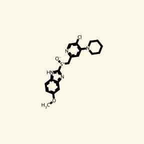 COc1ccc2[nH]c([S+]([O-])Cc3cc(N4CCCCC4)c(Cl)cn3)nc2c1